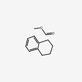 COC=O.c1ccc2c(c1)CCCC2